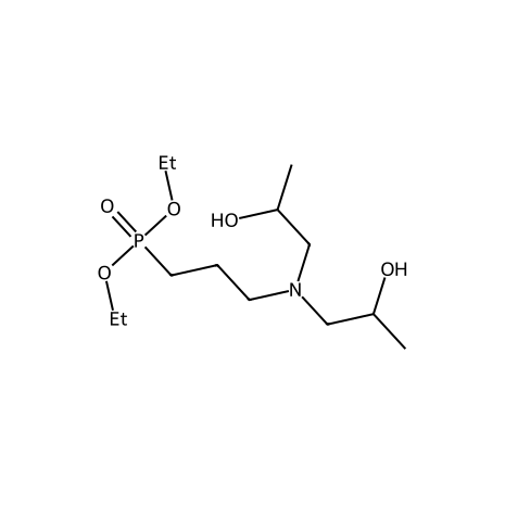 CCOP(=O)(CCCN(CC(C)O)CC(C)O)OCC